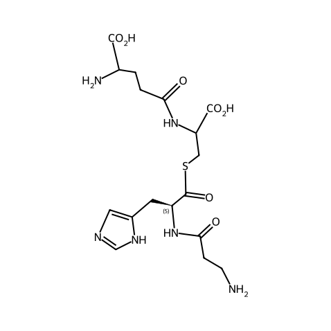 NCCC(=O)N[C@@H](Cc1cnc[nH]1)C(=O)SCC(NC(=O)CCC(N)C(=O)O)C(=O)O